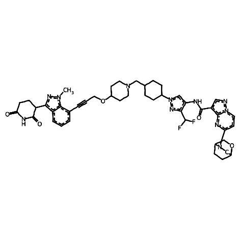 Cn1nc(C2CCC(=O)NC2=O)c2cccc(C#CCOC3CCN(CC4CCC(n5cc(NC(=O)c6cnn7ccc(N8CC9CCC8CO9)nc67)c(C(F)F)n5)CC4)CC3)c21